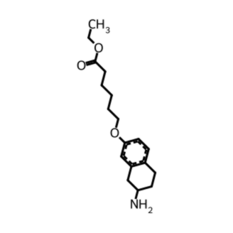 CCOC(=O)CCCCCOc1ccc2c(c1)CC(N)CC2